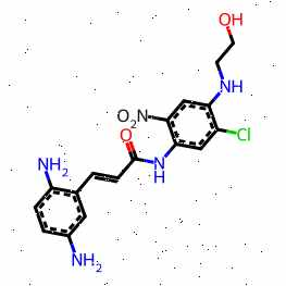 Nc1ccc(N)c(C=CC(=O)Nc2cc(Cl)c(NCCO)cc2[N+](=O)[O-])c1